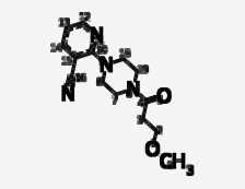 COCCC(=O)N1CCN(c2ncccc2C#N)CC1